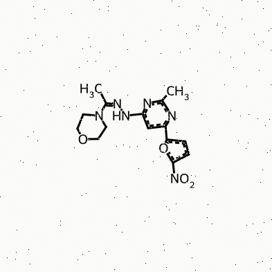 C/C(=N/Nc1cc(-c2ccc([N+](=O)[O-])o2)nc(C)n1)N1CCOCC1